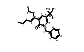 CCCC=C(CCC)c1cc(C(F)(F)F)cn(Cc2ccccc2)c1=O